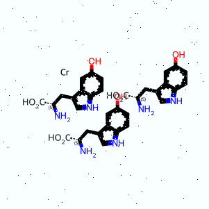 N[C@@H](Cc1c[nH]c2ccc(O)cc12)C(=O)O.N[C@@H](Cc1c[nH]c2ccc(O)cc12)C(=O)O.N[C@@H](Cc1c[nH]c2ccc(O)cc12)C(=O)O.[Cr]